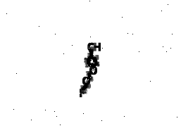 C#Cc1ccc(OCCOCCF)cc1